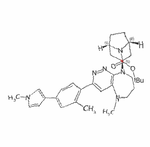 Cc1cc(-c2ccn(C)c2)ccc1-c1cc2c(nn1)N([C@@H]1C[C@H]3CC[C@@H](C1)N3C(=O)OC(C)(C)C)CCCN2C